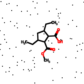 CCC1CC(CC)C(C(=O)OC)C1C(=O)O